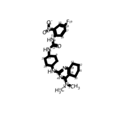 CN(C)c1nc(NC2CCC(NC(=O)Nc3ccc(F)cc3[N+](=O)[O-])CC2)nc2c1CCCC2